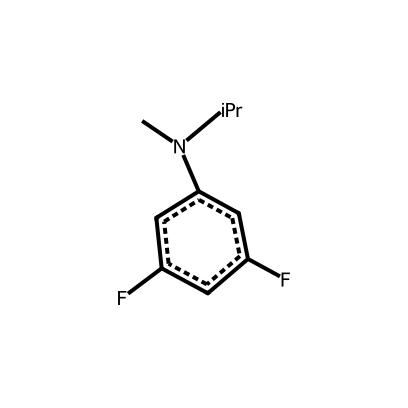 CC(C)N(C)c1cc(F)cc(F)c1